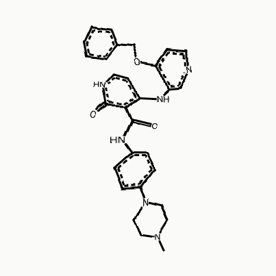 CN1CCN(c2ccc(NC(=O)c3c(Nc4cnccc4OCc4ccccc4)cc[nH]c3=O)cc2)CC1